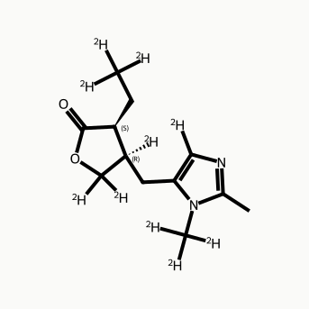 [2H]c1nc(C)n(C([2H])([2H])[2H])c1C[C@]1([2H])[C@H](CC([2H])([2H])[2H])C(=O)OC1([2H])[2H]